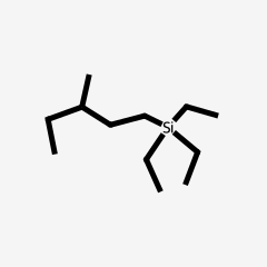 CCC(C)CC[Si](CC)(CC)CC